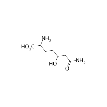 NC(=O)CC(O)CCC(N)C(=O)O